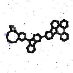 C=C1/C=C\C=C/Cc2cc(-n3c4ccccc4c4cc(-c5ccc6c(c5)c5ccccc5n6-c5ccccc5-c5ccccc5)ccc43)ccc2S1